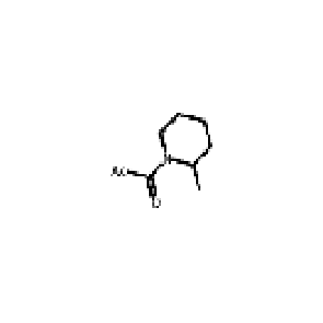 CC(=O)C(=O)N1CCCCC1C